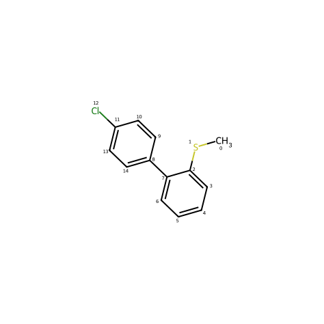 CSc1ccccc1-c1ccc(Cl)cc1